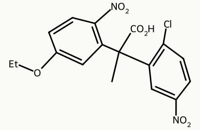 CCOc1ccc([N+](=O)[O-])c(C(C)(C(=O)O)c2cc([N+](=O)[O-])ccc2Cl)c1